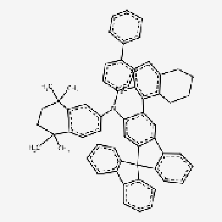 Cc1ccc2c(c1-c1cc3c(cc1N(c1ccc(-c4ccccc4)cc1)c1ccc4c(c1)C(C)(C)CCC4(C)C)C1(c4ccccc4-c4ccccc41)c1ccccc1-3)CCCC2